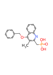 Cc1c(CP(=O)(O)O)nc2ccccc2c1OCc1ccccc1